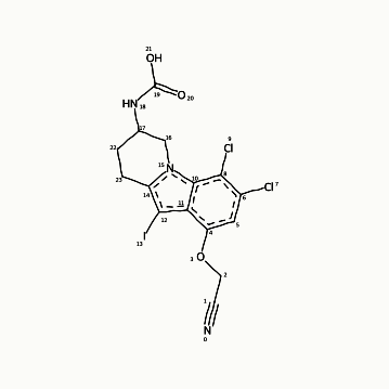 N#CCOc1cc(Cl)c(Cl)c2c1c(I)c1n2CC(NC(=O)O)CC1